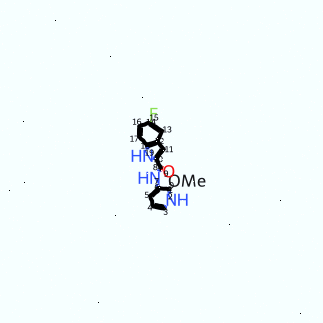 COC1NC=CC=C1NC(=O)c1cc2cc(F)ccc2[nH]1